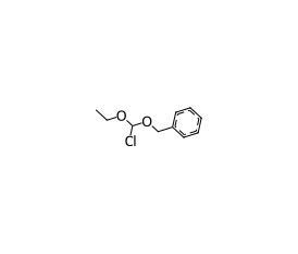 CCOC(Cl)OCc1ccccc1